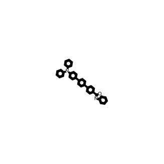 c1ccc(N(c2ccccc2)c2ccc(-c3ccc(-c4ccc(-c5nc6ccccc6o5)cc4)cc3)cc2)cc1